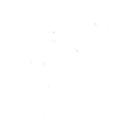 CN(C(=O)CN(C)S(=O)(=O)/C=C/c1ccccc1)c1sc(-c2cccnc2)nc1Cl